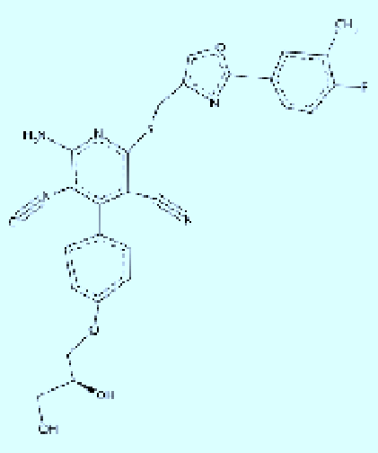 [C-]#[N+]c1c(N)nc(SCc2coc(-c3ccc(F)c(C)c3)n2)c(C#N)c1-c1ccc(OC[C@@H](O)CO)cc1